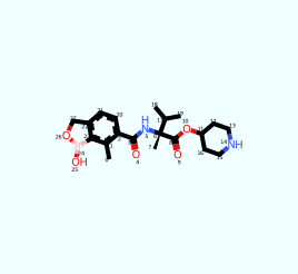 Cc1c(C(=O)N[C@@](C)(C(=O)OC2CCNCC2)C(C)C)ccc2c1B(O)OC2